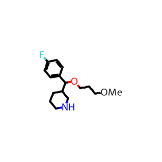 COCCCOC(c1ccc(F)cc1)C1CCCNC1